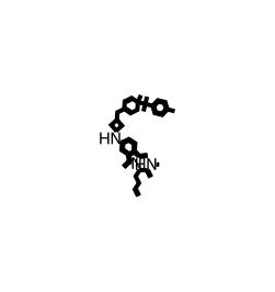 C=CCCC(C(=C)NC)n1c(=C)c2ccc(NC3CC(CC4=CCC(C)(C(C)(C)c5ccc(C)cc5)C=C4)C3)cc2c1=C